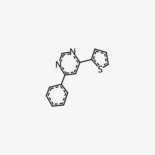 c1ccc(-c2cc(-c3cccs3)ncn2)cc1